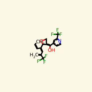 C=C(/C=C(\C=C/C)C1OC/C1=C(/O)c1ccnc(C(F)(F)F)c1)C(F)(F)F